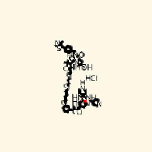 Cc1ncsc1-c1ccc(CNC(=O)[C@@H]2C[C@@H](O)CN2C(=O)[C@@H](NC(=O)COCCCOCCCCCOc2cccc([C@H](C)NC(=O)c3cccc(NC4(c5nnc(-c6ccncc6)[nH]5)CCNCC4)c3)c2)C(C)(C)C)cc1.Cl